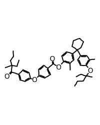 CCCC(C)(CC)Oc1ccc(C2(c3ccc(OC(=O)c4ccc(Oc5ccc(C(=O)C(C)(CC)CCC)cc5)cc4)c(C)c3)CCCCC2)cc1C